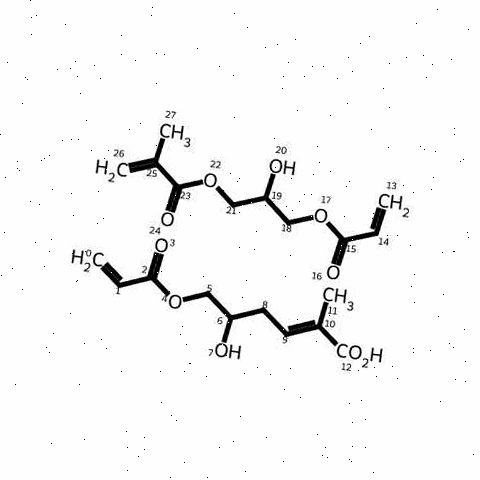 C=CC(=O)OCC(O)CC=C(C)C(=O)O.C=CC(=O)OCC(O)COC(=O)C(=C)C